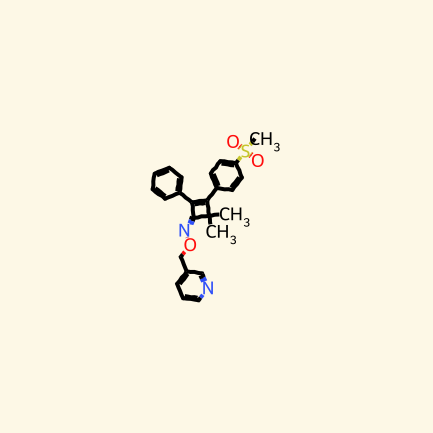 CC1(C)C(=NOCc2cccnc2)C(c2ccccc2)=C1c1ccc(S(C)(=O)=O)cc1